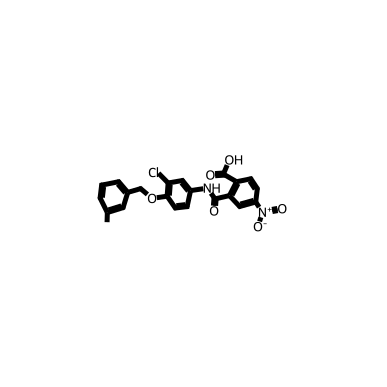 Cc1cccc(COc2ccc(NC(=O)c3cc([N+](=O)[O-])ccc3C(=O)O)cc2Cl)c1